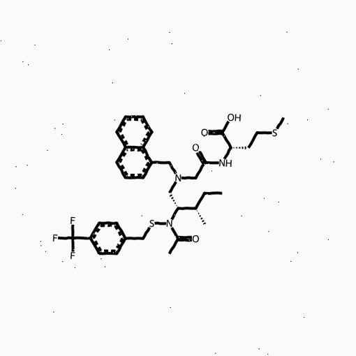 CC[C@H](C)[C@@H](CN(CC(=O)N[C@@H](CCSC)C(=O)O)Cc1cccc2ccccc12)N(SCc1ccc(C(F)(F)F)cc1)C(C)=O